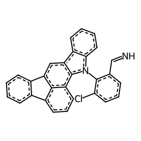 N=Cc1cccc(Cl)c1-n1c2ccccc2c2cc3c4c(cccc4c21)-c1ccccc1-3